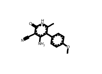 COc1ccc(-c2c(C)[nH]c(=O)c(C#N)c2N)cc1